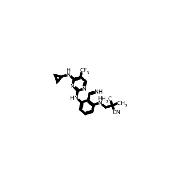 CC(C)(C#N)CNc1cccc(Nc2ncc(C(F)(F)F)c(NC3CC3)n2)c1C=N